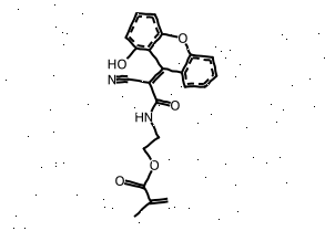 C=C(C)C(=O)OCCNC(=O)/C(C#N)=C1\c2ccccc2Oc2cccc(O)c21